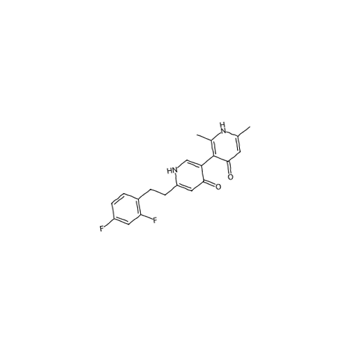 Cc1cc(=O)c(-c2c[nH]c(CCc3ccc(F)cc3F)cc2=O)c(C)[nH]1